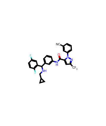 N#Cc1cccc(-n2nc(C(F)(F)F)cc2C(=O)Nc2cccc(C(NCC3CC3)c3cc(F)ccc3F)c2)c1